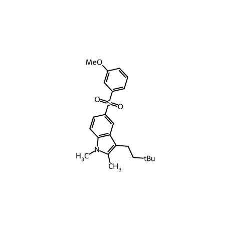 COc1cccc(S(=O)(=O)c2ccc3c(c2)c(C[CH]C(C)(C)C)c(C)n3C)c1